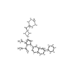 NC(=O)c1c(-c2ccc3ccc(-c4ccccc4)nc3c2)nn([C@H]2C[C@H](CN3CCOCC3)C2)c1N